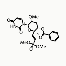 CO[C@@H]1C[C@H](OC(=O)c2ccccc2)[C@@](C)(/C=C/P(=O)(OC)OC)O[C@H]1n1ccc(=O)[nH]c1=O